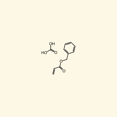 C=CC(=O)OCc1ccccc1.O=C(O)O